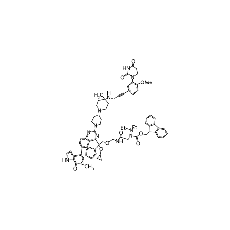 CCN(CC)N(CC(=O)NCOCC(OC1CC1)(c1ccccc1)c1nc(N2CCC(N3CCC(C)(NCC#Cc4ccc(OC)c(N5CCC(=O)NC5=O)c4)CC3)CC2)nc2ccc(-c3cn(C)c(=O)c4[nH]ccc34)cc12)C(=O)OCC1c2ccccc2-c2ccccc21